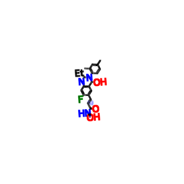 CCC1=Nc2cc(F)c(/C=C/C(=O)NO)cc2C(O)N1c1ccc(C)cc1C